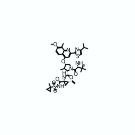 C=C[C@@H]1C[C@]1(NC(=O)[C@@H]1C(C)[C@@H](Oc2cc(-c3nc(C(C)C)cs3)nc3c(C)c(OC)ccc23)CN1C(=O)[C@@H](N)C(C)(C)C)C(=O)NS(=O)(=O)C1(C)CC1